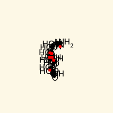 Nc1ncnc2c1ncn2[C@@H]1O[C@H](COP(=O)(O)OP(=O)(O)NP(=O)(O)OP(=O)(O)OP(=O)(O)OC[C@H]2O[C@@H](n3ccc(=O)[nH]c3=O)[C@@H](O)C2O)C(O)C1O